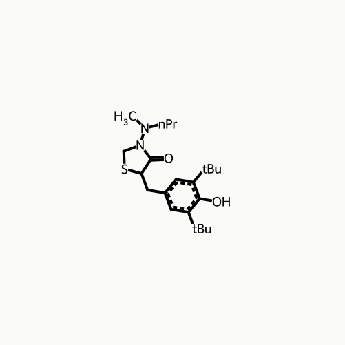 CCCN(C)N1CSC(Cc2cc(C(C)(C)C)c(O)c(C(C)(C)C)c2)C1=O